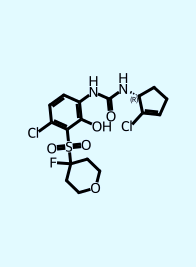 O=C(Nc1ccc(Cl)c(S(=O)(=O)C2(F)CCOCC2)c1O)N[C@@H]1CCC=C1Cl